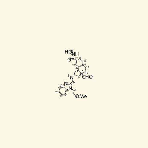 COCCn1c(CN(C)CC[C@]2(C=O)CCc3ccc(C(=O)NO)cc3C2)nc2ccccc21